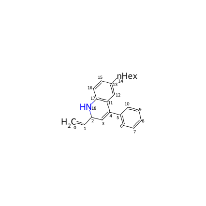 C=CC1C=C(c2ccccc2)c2cc(CCCCCC)ccc2N1